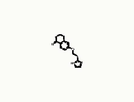 O=C1CCCc2cc(OCCc3ncc[nH]3)ccc21